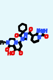 CC(C)N1CCn2c(N(C)C(=O)C3(NC(=O)c4cccn5c(=O)[nH]nc45)CCCCC3)cc(=O)c(O)c2C1=O